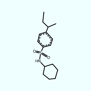 CCC(C)c1ccc(S(=O)(=O)NC2CCCCC2)cc1